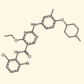 CCOc1nc(Nc2ccc(OC3CCN(C)CC3)c(C)c2)ncc1C(=O)Nc1c(Cl)cccc1Br